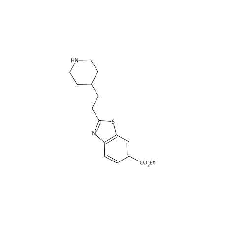 CCOC(=O)c1ccc2nc(CCC3CCNCC3)sc2c1